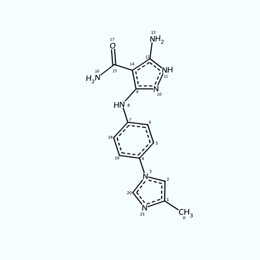 Cc1cn(-c2ccc(Nc3n[nH]c(N)c3C(N)=O)cc2)cn1